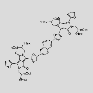 CCCCCCCCC(CCCCCC)CN1C(=O)C2=C(c3ccc(-c4ccc5cc(-c6ccc(C7=C8C(=O)N(CC(CCCCCC)CCCCCCCC)C(c9ccco9)=C8C(=O)N7CC(CCCCCC)CCCCCCCC)o6)ccc5c4)o3)N(CC(CCCCCC)CCCCCCCC)C(=O)C2=C1c1ccco1